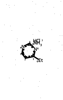 CCc1ccncn1.Cl.N